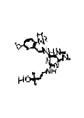 COc1ccc(N)c(CNc2nc(NCCC(C)(C)O)nc3c2ncn3C)c1